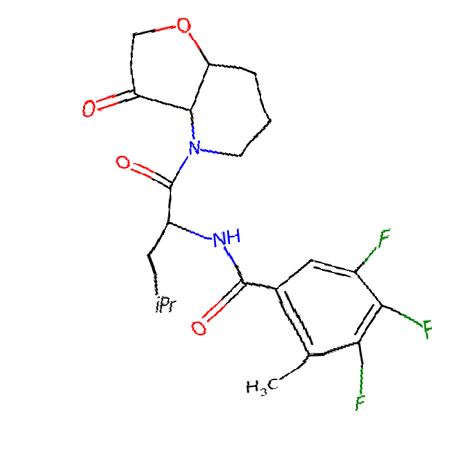 Cc1c(C(=O)NC(CC(C)C)C(=O)N2CCCC3OCC(=O)C32)cc(F)c(F)c1F